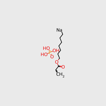 C=CC(=O)OCCCCCC[CH2][Na].O=P(O)(O)O